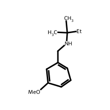 CCC(C)(C)NCc1cccc(OC)c1